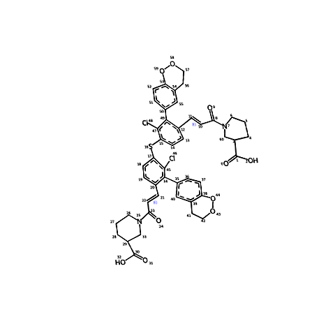 O=C(O)C1CCCN(C(=O)/C=C/c2ccc(Sc3ccc(/C=C/C(=O)N4CCCC(C(=O)O)C4)c(-c4ccc5c(c4)CCOO5)c3Cl)c(Cl)c2-c2ccc3c(c2)CCOO3)C1